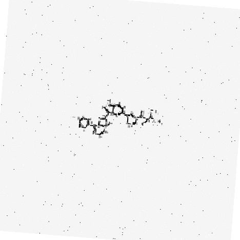 CC(C)C(=O)Nc1cncc(-c2ccc3[nH]nc(-c4nc5c(-c6cccnc6)nccc5[nH]4)c3n2)c1